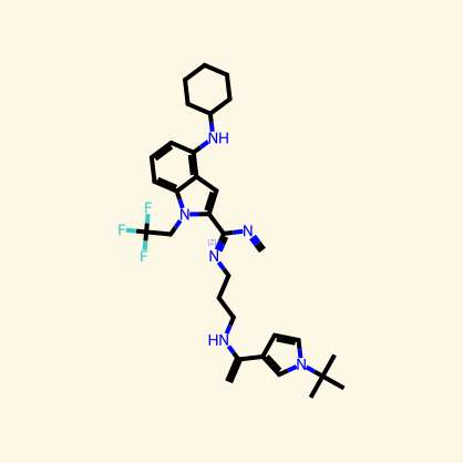 C=N/C(=N\CCCNC(=C)c1ccn(C(C)(C)C)c1)c1cc2c(NC3CCCCC3)cccc2n1CC(F)(F)F